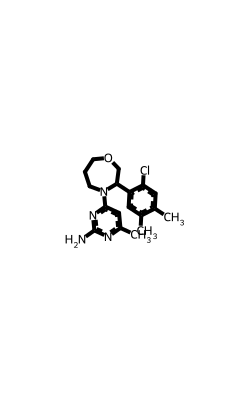 Cc1cc(N2CCCOCC2c2cc(C)c(C)cc2Cl)nc(N)n1